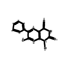 CCn1c(=O)[nH]c(=O)c2nc(-c3ccccc3)c(Cl)nc21